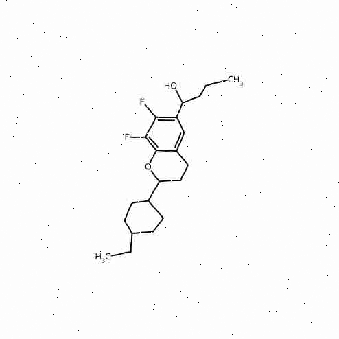 CCCC(O)c1cc2c(c(F)c1F)OC(C1CCC(CC)CC1)CC2